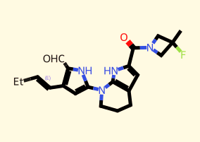 CC/C=C/c1cc(N2CCCc3cc(C(=O)N4CC(C)(F)C4)[nH]c32)[nH]c1C=O